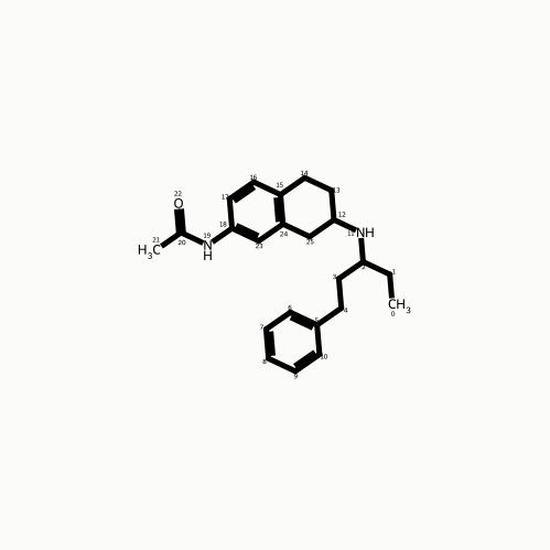 CCC(CCc1ccccc1)NC1CCc2ccc(NC(C)=O)cc2C1